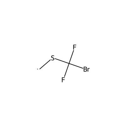 [CH2]SC(F)(F)Br